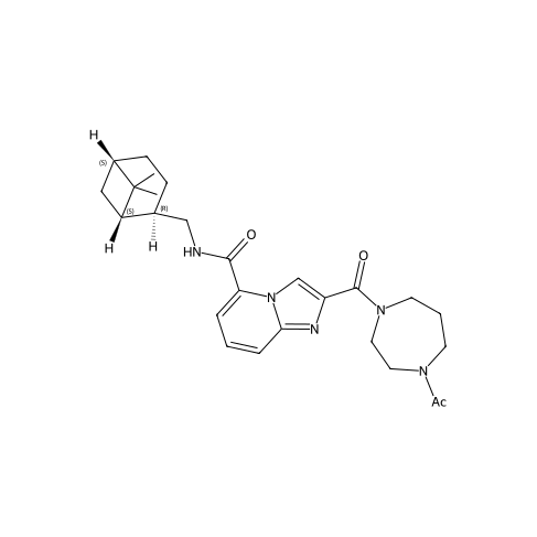 CC(=O)N1CCCN(C(=O)c2cn3c(C(=O)NC[C@@H]4CC[C@H]5C[C@@H]4C5(C)C)cccc3n2)CC1